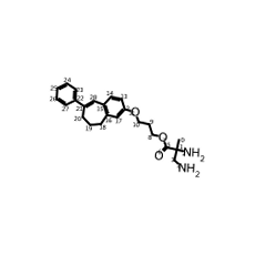 CC(N)(CN)C(=O)OCCCOc1ccc2c(c1)CCCC(c1ccccc1)=C2